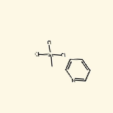 [CH3][Sn]([Cl])([Cl])[Cl].c1ccncc1